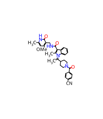 COc1cc(C)[nH]c(=O)c1CNC(=O)c1c(C)n([C@H](C)C2CCN(C(=O)c3ccc(C#N)cc3)CC2)c2ccccc12